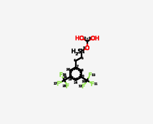 OC(O)O[SiH2]CCc1cc(C(F)(F)F)cc(C(F)(F)F)c1